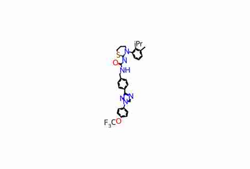 Cc1cccc(N2CCCS/C2=N\C(=O)NCc2ccc(-c3ncn(-c4ccc(OC(F)(F)F)cc4)n3)cc2)c1C(C)C